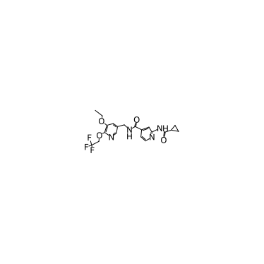 CCOc1cc(CNC(=O)c2ccnc(NC(=O)C3CC3)c2)cnc1OCC(F)(F)F